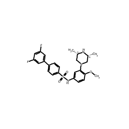 COc1ccc(NS(=O)(=O)c2ccc(-c3cc(F)cc(F)c3)cc2)cc1N1C[C@@H](C)N[C@@H](C)C1